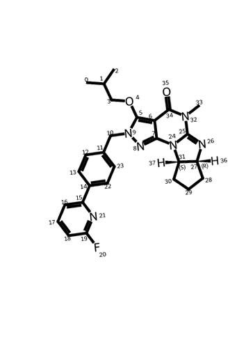 CC(C)COc1c2c(nn1Cc1ccc(-c3cccc(F)n3)cc1)N1C(=N[C@@H]3CCC[C@@H]31)N(C)C2=O